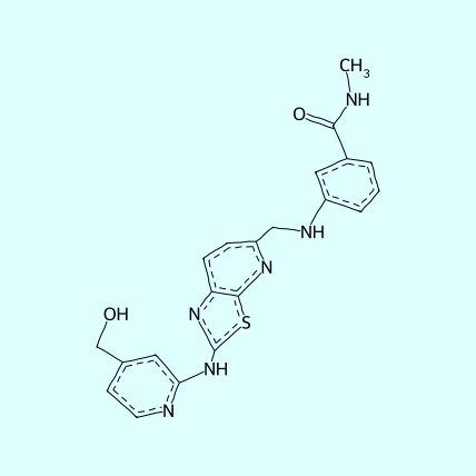 CNC(=O)c1cccc(NCc2ccc3nc(Nc4cc(CO)ccn4)sc3n2)c1